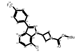 CC(C)(C)OC(=O)N1CC(n2nc(-c3ccc(C(F)(F)F)cc3)c3nccc(Cl)c32)C1